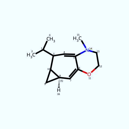 CC(C)C1C=C2C(=C[C@H]3CC13)OCCN2C